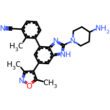 Cc1noc(C)c1-c1cc(-c2cccc(C#N)c2C)c2nc(N3CCC(N)CC3)[nH]c2c1